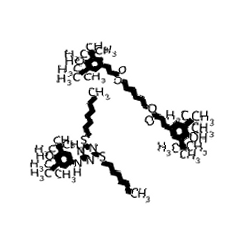 CC(C)(C)c1cc(CCC(=O)OCCCCCCOC(=O)CCc2cc(C(C)(C)C)c(O)c(C(C)(C)C)c2)cc(C(C)(C)C)c1O.CCCCCCCCSc1nc(Nc2cc(C(C)(C)C)c(O)c(C(C)(C)C)c2)nc(SCCCCCCCC)n1